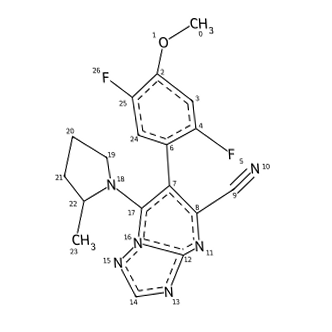 COc1cc(F)c(-c2c(C#N)nc3ncnn3c2N2CCCC2C)cc1F